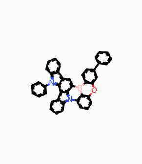 c1ccc(-c2ccc3c(c2)Oc2cccc4c2B3c2cc3c5ccccc5n(-c5ccccc5)c3c3c5ccccc5n-4c23)cc1